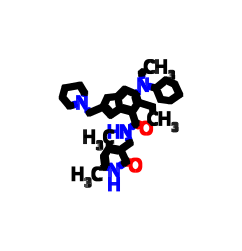 CCc1c(N(CC)C2CCCCC2)cc2c(c1C(=O)NCc1c(C)cc(C)[nH]c1=O)C=C(CN1CCCCC1)C2